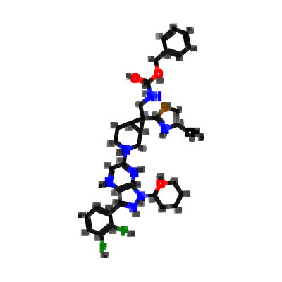 Cc1csc(C2(CNC(=O)OCc3ccccc3)C3CCN(c4cnc5c(-c6cccc(F)c6F)nn(C6CCCCO6)c5n4)CC32)n1